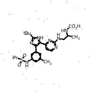 Cc1cc(NS(=O)(=O)C(C)C)cc(-c2nc(C(C)(C)C)[nH]c2-c2ccnc(NCC(C)NC(=O)O)n2)c1